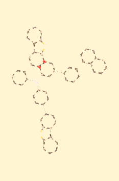 c1cc(-c2cccc(N(c3ccc(-c4ccc5c(c4)sc4ccccc45)cc3)c3ccccc3-c3ccc4sc5ccccc5c4c3)c2)cc(-c2cccc3ccccc23)c1